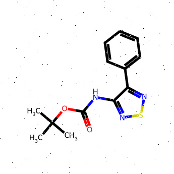 CC(C)(C)OC(=O)Nc1nsnc1-c1ccccc1